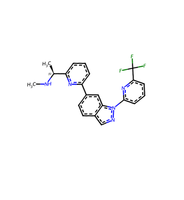 CN[C@@H](C)c1cccc(-c2ccc3cnn(-c4cccc(C(F)(F)F)n4)c3c2)n1